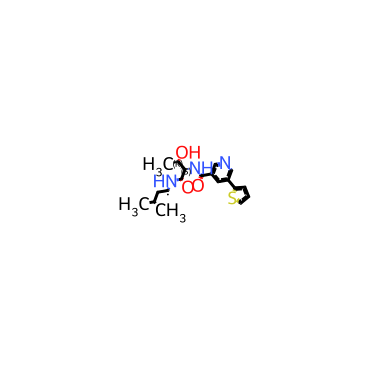 CC(C)C[CH]NC(=O)[C@@H](NC(=O)c1cncc(-c2cccs2)c1)[C@@H](C)O